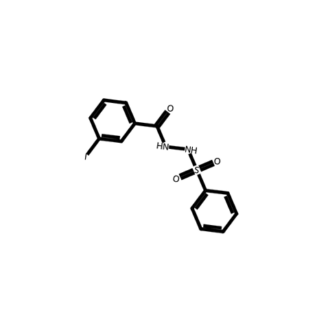 O=C(NNS(=O)(=O)c1ccccc1)c1cccc(I)c1